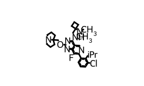 CC(C)c1c(Cl)cccc1-c1ncc2c(NCC3(N(C)C)CCC3)nc(OCC34CCCN3CCC4)nc2c1F